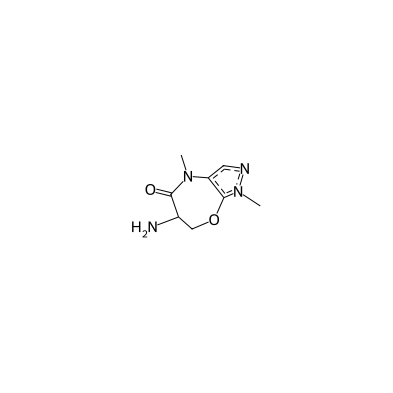 CN1C(=O)C(N)COc2c1cnn2C